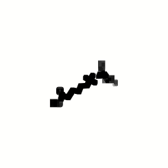 C1CN1.CC(C)(C)CCCCCC(=O)O.N